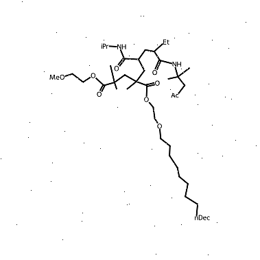 CCCCCCCCCCCCCCCCCCOCCOC(=O)C(C)(CC(CC(CC)C(=O)NC(C)(C)CC(C)=O)C(=O)NC(C)C)CC(C)(C)C(=O)OCCOC